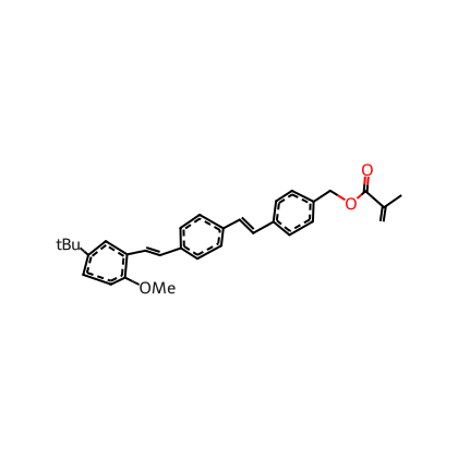 C=C(C)C(=O)OCc1ccc(/C=C/c2ccc(/C=C/c3cc(C(C)(C)C)ccc3OC)cc2)cc1